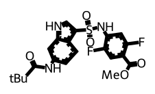 COC(=O)c1cc(F)c(NS(=O)(=O)c2c[nH]c3cc(NC(=O)C(C)(C)C)ccc23)cc1F